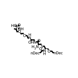 CCCCCCCCCCCCOC[C@H](CSC[C@H](N)C(=O)NCC(=O)NCCOCCOCC(C)P(=O)(O)O)NC(=O)CCCCCCCCCCC